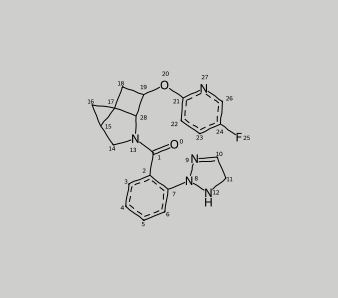 O=C(c1ccccc1N1N=CCN1)N1CC2CC23CC(Oc2ccc(F)cn2)C13